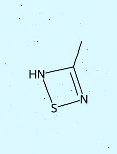 Cc1ns[nH]1